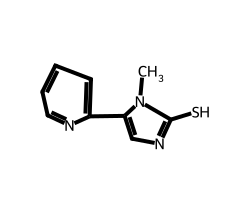 Cn1c(-c2ccccn2)cnc1S